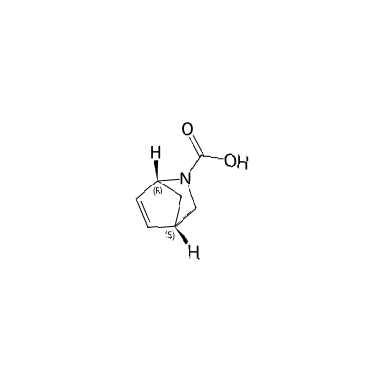 O=C(O)N1C[C@@H]2C=C[C@H]1C2